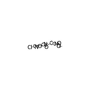 CC(C)(C)OC(=O)N1Cc2ccc(CCn3ccc(OCc4ccc(Cl)cn4)cc3=O)cc2C1